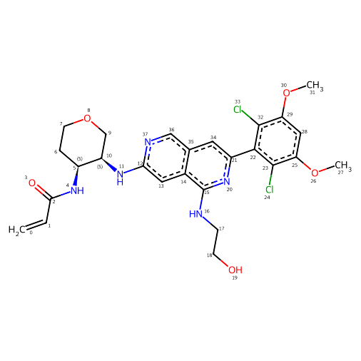 C=CC(=O)N[C@H]1CCOC[C@H]1Nc1cc2c(NCCO)nc(-c3c(Cl)c(OC)cc(OC)c3Cl)cc2cn1